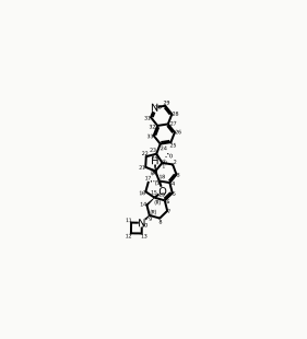 C[C@]12CC=C3C=C4CC[C@@H](N5CCC5)C[C@]45CC[C@]3(O5)[C@@H]1CCC2c1ccc2ccncc2c1